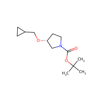 CC(C)(C)OC(=O)N1CC[C@@H](OCC2CC2)C1